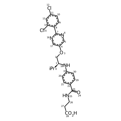 CC(C)[C@@H](COc1cnc(-c2ccc(Cl)cc2Cl)nc1)Nc1ccc(C(=O)NCCC(=O)O)cc1